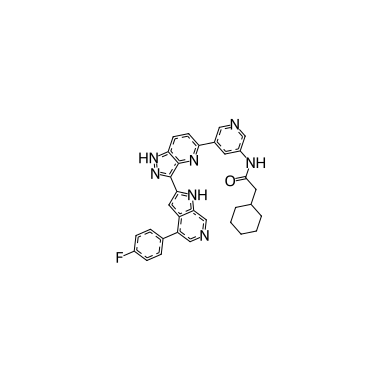 O=C(CC1CCCCC1)Nc1cncc(-c2ccc3[nH]nc(-c4cc5c(-c6ccc(F)cc6)cncc5[nH]4)c3n2)c1